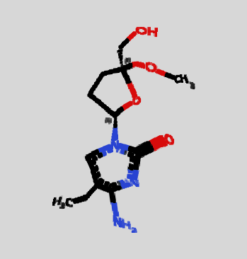 CO[C@]1(CO)CC[C@H](n2cc(C)c(N)nc2=O)O1